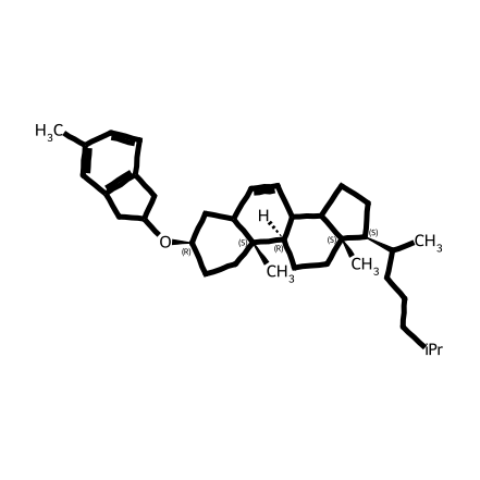 Cc1ccc2c(c1)CC(O[C@@H]1CC[C@]3(C)C(C=CC4C5CC[C@@H](C(C)CCCC(C)C)[C@]5(C)CC[C@H]43)C1)C2